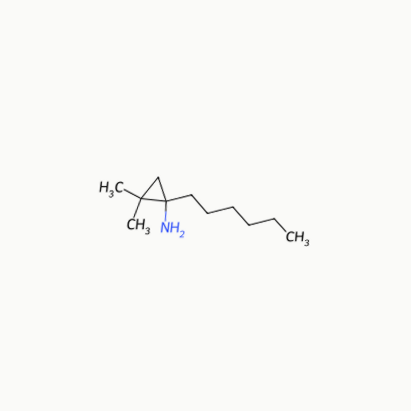 CCCCCCC1(N)CC1(C)C